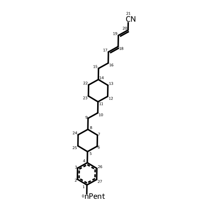 CCCCCc1ccc(C2CCC(CCC3CCC(CCC=CC=CC#N)CC3)CC2)cc1